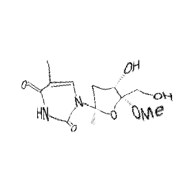 CO[C@]1(CO)O[C@@](C)(n2cc(C)c(=O)[nH]c2=O)C[C@@H]1O